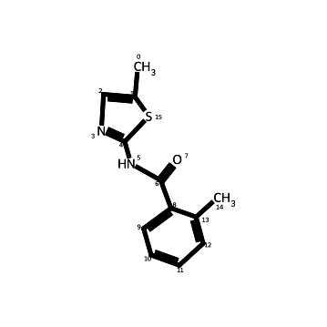 Cc1cnc(NC(=O)c2ccccc2C)s1